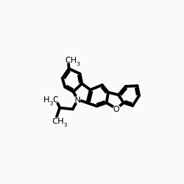 Cc1ccc2c(c1)c1cc3c(cc1n2CC(C)C)oc1ccccc13